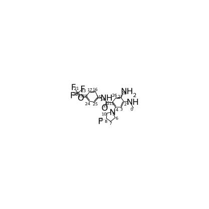 CNc1cc(N2CC[C@H](F)C2)c(C(=O)Nc2ccc(OC(F)(F)F)cc2)cc1N